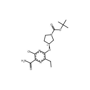 CCc1nc(C(N)=O)c(Cl)nc1O[C@H]1CCN(C(=O)OC(C)(C)C)C1